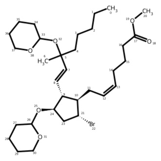 CCCCCC(C)(/C=C/[C@@H]1[C@@H](C/C=C\CCCC(=O)OC)[C@H](Br)C[C@H]1OC1CCCCO1)OC1CCCCO1